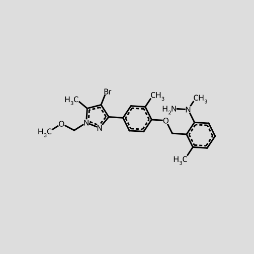 COCn1nc(-c2ccc(OCc3c(C)cccc3N(C)N)c(C)c2)c(Br)c1C